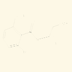 CSC[C@H](C)NC(=O)c1c(Br)cccc1C(=O)O.[LiH]